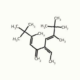 C=C(/C=C(\C)C(C)(C)C)C(=C\C)/C=C(\C)C(C)(C)C